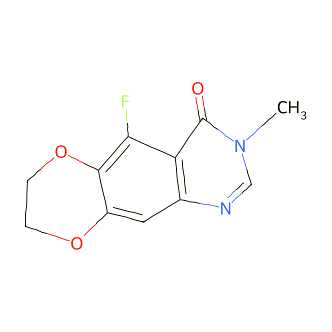 Cn1cnc2cc3c(c(F)c2c1=O)OCCO3